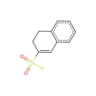 O=S(=O)(F)C1=Cc2ccccc2CC1